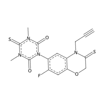 C#CCN1C(=S)COc2cc(F)c(-n3c(=O)n(C)c(=S)n(C)c3=O)cc21